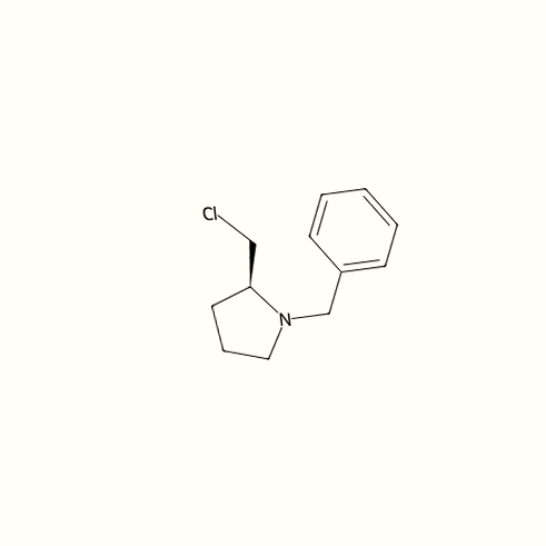 ClC[C@@H]1CCCN1Cc1ccccc1